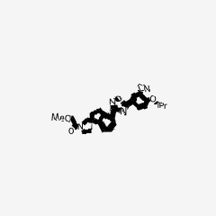 COCC(=O)N1CC[C@@]2(CCc3c(-c4noc(-c5ccc(OC(C)C)c(C#N)c5)n4)cccc32)C1